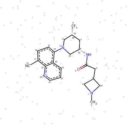 CN1CC(CC(=O)N[C@H]2C[C@@H](C(F)(F)F)CN(c3ccc(C#N)c4ncccc34)C2)C1